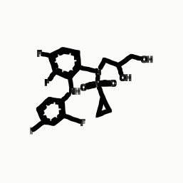 O=S(=O)(C1CC1)N(CC(O)CO)c1ccc(F)c(F)c1Nc1ccc(I)cc1F